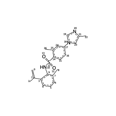 C=C(C)c1cccc(C)c1NS(=O)(=O)c1ccc(-n2cnc(C)c2)cc1C